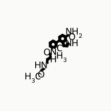 COCCNC/C=C/C(=O)Nc1cccc(-c2ccc(C(N)=O)c3[nH]ccc23)c1C